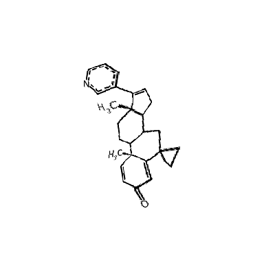 C[C@]12C=CC(=O)C=C1C1(CC1)CC1C2CC[C@]2(C)C(c3cccnc3)=CCC12